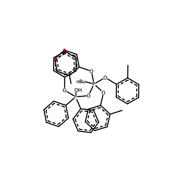 CCCCP(Oc1ccccc1C)(Oc1ccccc1C)(Oc1ccccc1C)OP(O)(Oc1ccccc1)(c1ccccc1)c1ccccc1